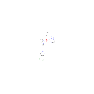 Cc1ccc(-c2ncccn2)c(C(=O)N2C3CC(C3)C[C@@H]2COc2ccc(C(F)(F)F)cn2)c1